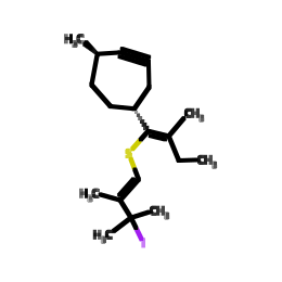 CC/C(C)=C(\S/C=C(\C)C(C)(C)I)[C@H]1CC#C[C@H](C)CC1